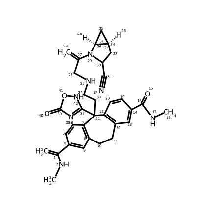 C=C(NC)c1ccc2c(c1)CCc1cc(C(=O)NC)ccc1C2(CCNCC(=C)N1C(C#N)C[C@@H]2C[C@@H]21)c1nc(=O)o[nH]1